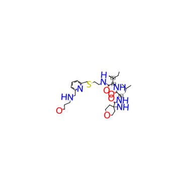 CC[C@H](C)[C@H](NC(=O)[C@H](CC(C)C)NC(=O)C1(NC)CCOCC1)C(=O)NCCSCc1cccc(CNCCC=O)n1